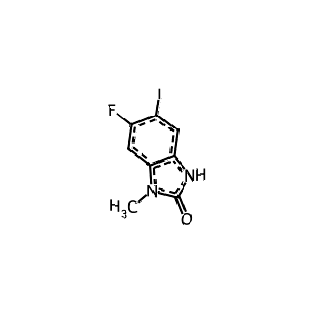 Cn1c(=O)[nH]c2cc(I)c(F)cc21